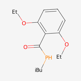 CCOc1cccc(OCC)c1C(=O)PC(C)CC